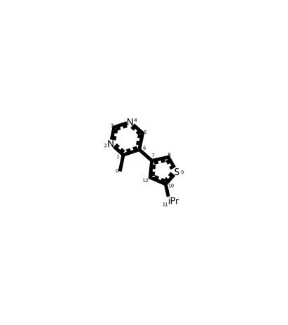 Cc1ncncc1-c1csc(C(C)C)c1